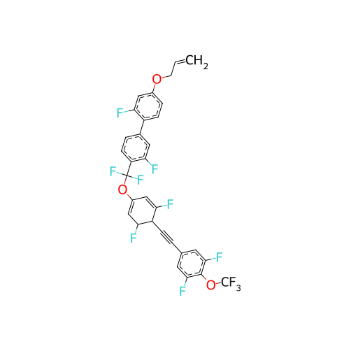 C=CCOc1ccc(-c2ccc(C(F)(F)OC3=CC(F)C(C#Cc4cc(F)c(OC(F)(F)F)c(F)c4)C(F)=C3)c(F)c2)c(F)c1